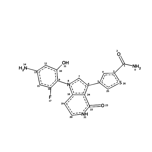 NC(=O)c1cc(-c2cn(-c3c(O)cc(N)cc3F)c3cc[nH]c(=O)c23)cs1